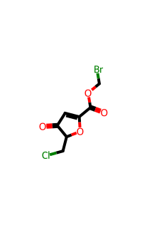 O=C(OCBr)C1=CC(=O)C(CCl)O1